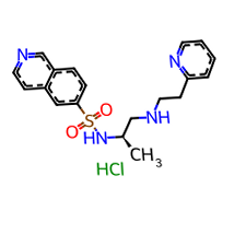 C[C@H](CNCCc1ccccn1)NS(=O)(=O)c1ccc2cnccc2c1.Cl